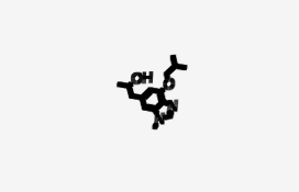 CC(C)COc1cc(CC(C)O)cc2c1ncn2C